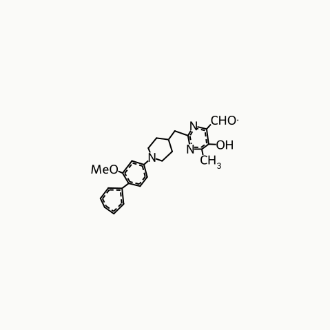 COc1cc(N2CCC(Cc3nc(C)c(O)c([C]=O)n3)CC2)ccc1-c1ccccc1